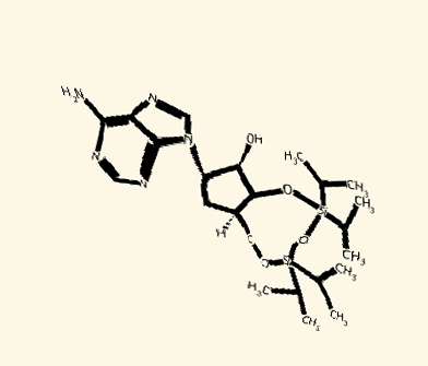 CC(C)[Si]1(C(C)C)OC[C@H]2C[C@@H](n3cnc4c(N)ncnc43)[C@@H](O)C2O[Si](C(C)C)(C(C)C)O1